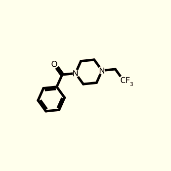 O=C(c1ccccc1)N1CCN(CC(F)(F)F)CC1